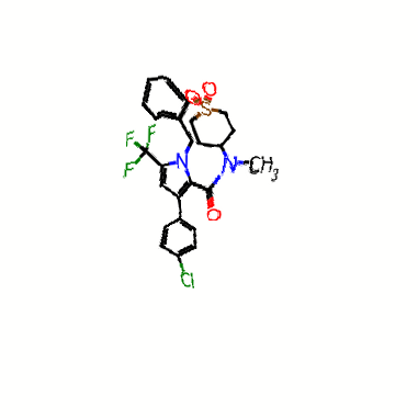 CN(C(=O)c1c(-c2ccc(Cl)cc2)cc(C(F)(F)F)n1Cc1ccccc1)C1CCS(=O)(=O)CC1